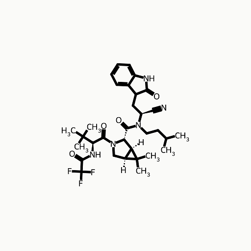 CC(C)CCN(C(=O)[C@@H]1[C@@H]2[C@H](CN1C(=O)[C@@H](NC(=O)C(F)(F)F)C(C)(C)C)C2(C)C)[C@H](C#N)CC1C(=O)Nc2ccccc21